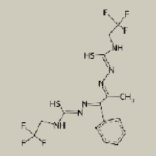 CC(=N\N=C(/S)NCC(F)(F)F)/C(=N/N=C(\S)NCC(F)(F)F)c1ccccc1